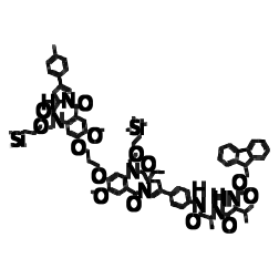 CC[C@@]12CC(c3ccc(NC(=O)[C@H](C)NC(=O)[C@@H](NC(=O)OCC4c5ccccc5-c5ccccc54)C(C)C)cc3)=CN1C(=O)c1cc(OC)c(OCCCOc3cc4c(cc3OC)C(=O)N3C=C(c5ccc(C)cc5)C[C@H]3C(=O)N4COCC[Si](C)(C)C)cc1N(COCC[Si](C)(C)C)C2=O